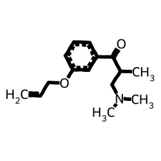 C=CCOc1cccc(C(=O)C(C)CN(C)C)c1